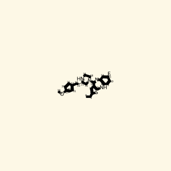 CCc1cc2c(s1)Nc1ccc(F)cc1N=C2N1CCN[C@@H](CCc2ccc(OC)cc2)C1